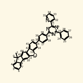 CC1(C)c2ccccc2-c2cc3oc4cc(-c5ccc(-c6nc(-c7ccccc7)nc(-c7ccccn7)n6)cc5)ccc4c3cc21